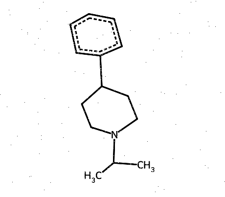 CC(C)N1CCC(c2ccccc2)CC1